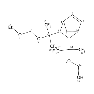 CCOCOC(C1C2C=CC(C2)C1C(OCO)(C(F)(F)F)C(F)(F)F)(C(F)(F)F)C(F)(F)F